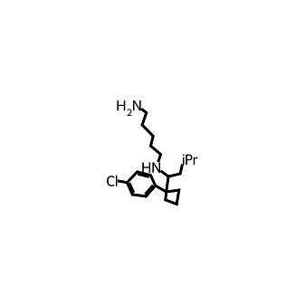 CC(C)CC(NCCCCCN)C1(c2ccc(Cl)cc2)CCC1